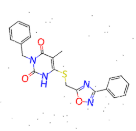 Cc1c(SCc2nc(-c3ccccc3)no2)[nH]c(=O)n(Cc2ccccc2)c1=O